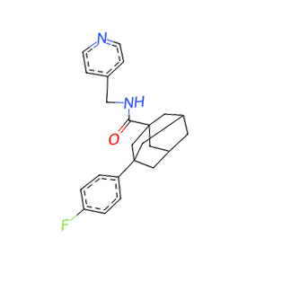 O=C(NCc1ccncc1)C12CC3CC(C1)CC(c1ccc(F)cc1)(C3)C2